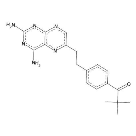 CC(C)(C)C(=O)c1ccc(CCc2cnc3nc(N)nc(N)c3n2)cc1